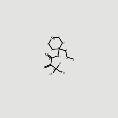 C=C(C(=O)SC1(CSC)CCSCC1)C(F)(F)F